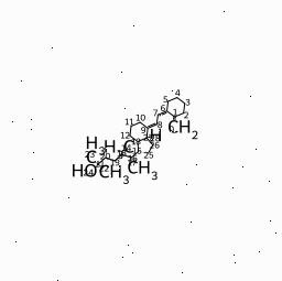 C=C1CCCC/C1=C/C=C1\CCC[C@]2(C)[C@@H]([C@H](C)CCCC(C)(C)O)CC[C@@H]12